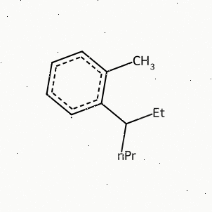 CCCC(CC)c1[c]cccc1C